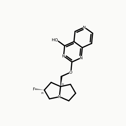 Oc1nc(OC[C@@]23CCCN2C[C@H](F)C3)nc2ccncc12